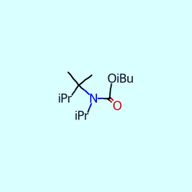 CC(C)COC(=O)N(C(C)C)C(C)(C)C(C)C